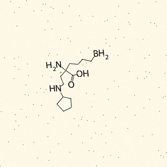 BCCCCC(N)(CCNC1CCCC1)C(=O)O